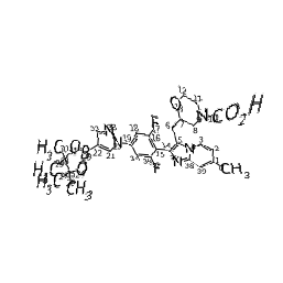 Cc1ccn2c(CC3CN(C(=O)O)CCO3)c(-c3c(F)cc(-n4cc(B5OC(C)(C)C(C)(C)O5)cn4)cc3F)nc2c1